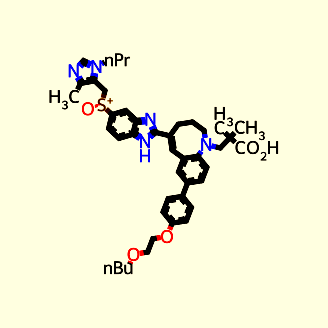 CCCCOCCOc1ccc(-c2ccc3c(c2)/C=C(/c2nc4cc([S@+]([O-])Cc5c(C)ncn5CCC)ccc4[nH]2)CCCN3CC(C)(C)C(=O)O)cc1